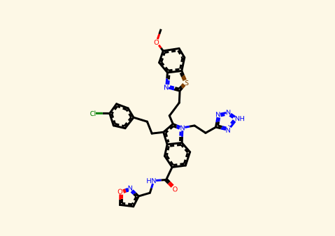 COc1ccc2sc(CCc3c(CCc4ccc(Cl)cc4)c4cc(C(=O)NCc5ccon5)ccc4n3CCc3nn[nH]n3)nc2c1